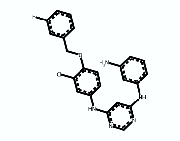 Nc1cccc(Nc2cc(Nc3ccc(OCc4cccc(F)c4)c(Cl)c3)ncn2)c1